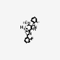 CCCCC(C)c1c(-c2nc(-c3ccccc3F)no2)nnn1-c1ccccc1F